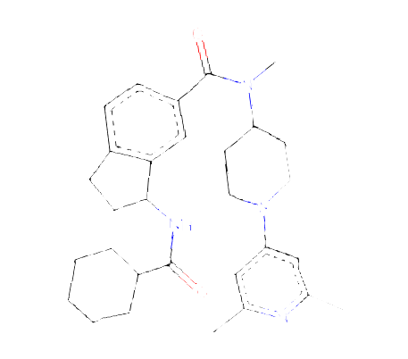 Cc1cc(N2CCC(N(C)C(=O)c3ccc4c(c3)C(NC(=O)C3CCCCC3)CC4)CC2)cc(C)n1